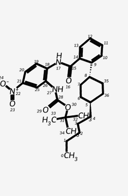 CCCCC[C@H]1CC[C@H](c2ccccc2C(=O)Nc2ccc([N+](=O)[O-])cc2NC(=O)OC(C)(C)C)CC1